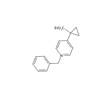 CCOC(=O)C1(c2cc[n+](Cc3ccccc3)cc2)CC1